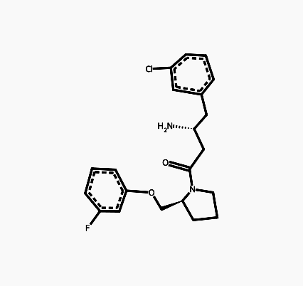 N[C@@H](CC(=O)N1CCC[C@H]1COc1cccc(F)c1)Cc1cccc(Cl)c1